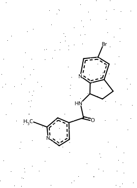 Cc1cc(C(=O)NC2CCc3cc(Br)cnc32)ccn1